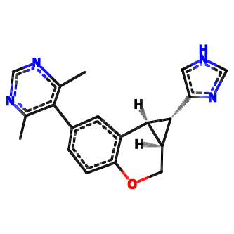 Cc1ncnc(C)c1-c1ccc2c(c1)[C@@H]1[C@H](CO2)[C@H]1c1c[nH]cn1